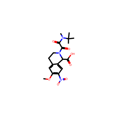 COc1cc2c(cc1[N+](=O)[O-])C(C(=O)O)N(C(=O)C(=O)N(C)C(C)(C)C)CC2